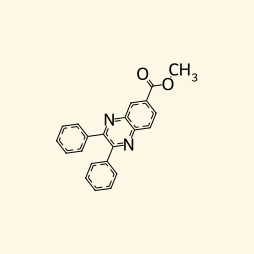 COC(=O)c1ccc2nc(-c3ccccc3)c(-c3ccccc3)nc2c1